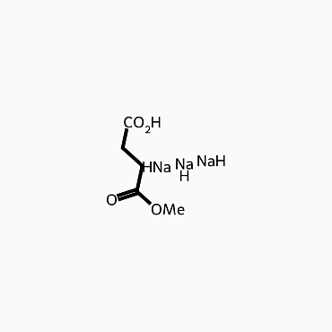 COC(=O)CCC(=O)O.[NaH].[NaH].[NaH]